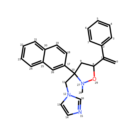 C=C(c1ccccc1)C1CC(Cn2ccnc2)(c2ccc3ccccc3c2)N(C)O1